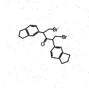 O=C(C(CBr)c1ccc2c(c1)CCC2)C(CBr)c1ccc2c(c1)CCC2